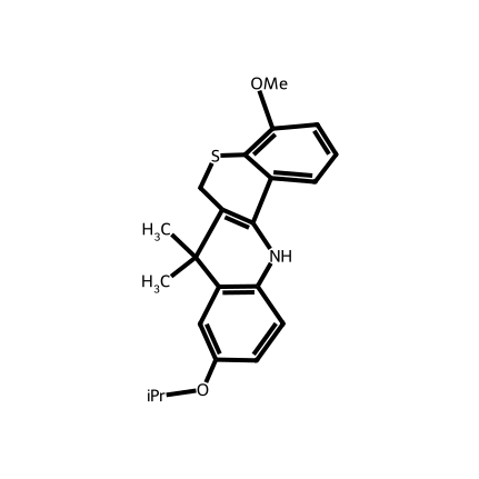 COc1cccc2c1SCC1=C2Nc2ccc(OC(C)C)cc2C1(C)C